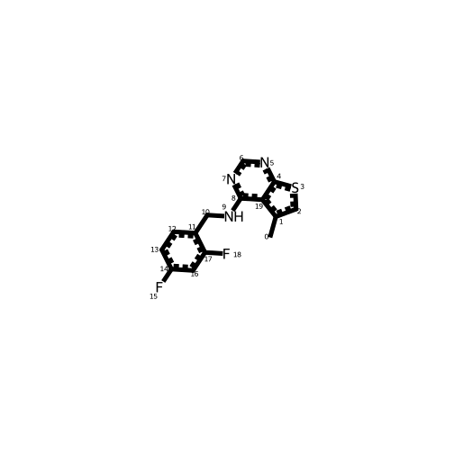 Cc1csc2ncnc(NCc3ccc(F)cc3F)c12